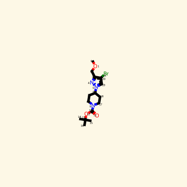 COCc1nn(C2CCN(C(=O)OC(C)(C)C)CC2)cc1Br